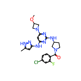 COC1CN(c2cc(Nc3cc(C)[nH]n3)nc(N[C@H]3CCN(C(=O)c4ccc(Cl)cc4F)C3)n2)C1